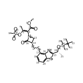 COC(=O)/C(=C(\C)OS(C)(=O)=O)N1C[C@@H](SSc2cccc3sc([C@@H](C)O[Si](C)(C)C(C)(C)C)nc23)C1=O